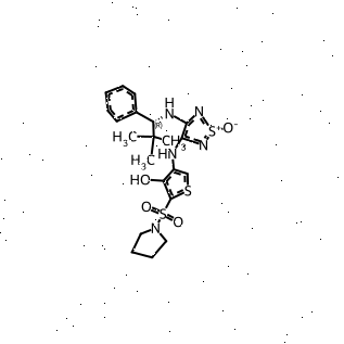 CC(C)(C)[C@@H](Nc1n[s+]([O-])nc1Nc1csc(S(=O)(=O)N2CCCC2)c1O)c1ccccc1